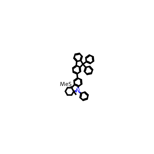 CSC12CCCCC1(C)N(c1ccccc1)c1ccc(-c3ccc4c(c3)C(c3ccccc3)(c3ccccc3)c3ccccc3-4)cc12